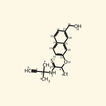 C#CC(C)(C)NC(=S)C(CC)Oc1ccc2ccc(CO)cc2c1